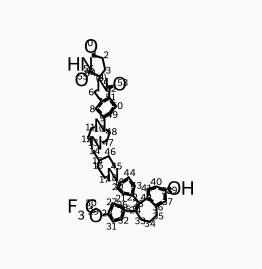 O=C1CC[C@H](N2Cc3cc(N4CCN(CC5CCN(c6ccc(C7=C(c8ccc(OC(F)(F)F)cc8)CCCc8cc(O)ccc87)cc6)CC5)CC4)ccc3C2=O)C(=O)N1